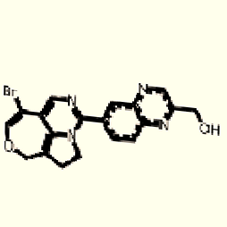 OCc1cnc2cc(C3=NC=C4C(Br)=COCC5=C4N3CC5)ccc2n1